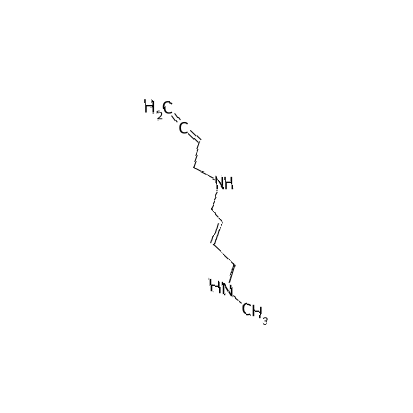 C=C=CCNC/C=C/CNC